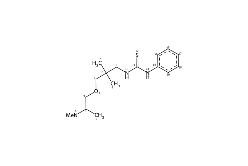 CNC(C)COCC(C)(C)CNC(=S)Nc1ccccc1